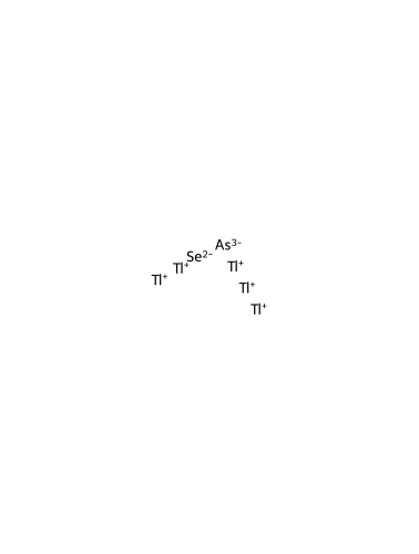 [As-3].[Se-2].[Tl+].[Tl+].[Tl+].[Tl+].[Tl+]